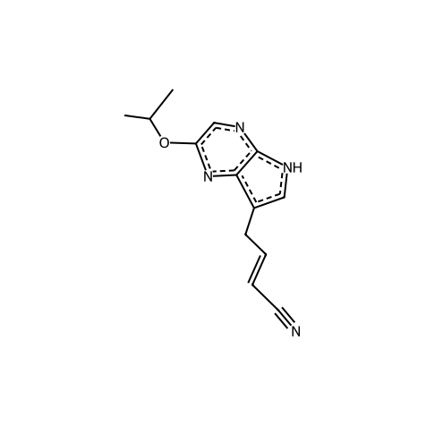 CC(C)Oc1cnc2[nH]cc(C/C=C/C#N)c2n1